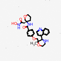 CC1(COc2ccc(C(=O)N[C@@]3(CC(=O)NO)CCCOC3)cc2)OCCNC1c1ccnc2ccccc12